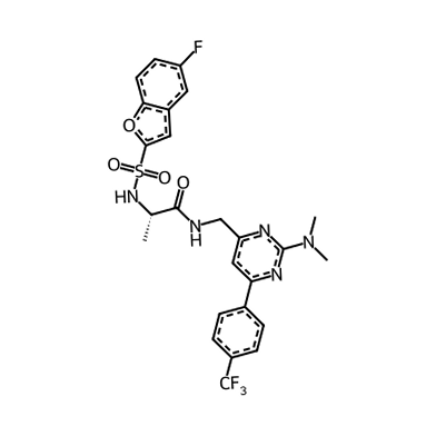 C[C@H](NS(=O)(=O)c1cc2cc(F)ccc2o1)C(=O)NCc1cc(-c2ccc(C(F)(F)F)cc2)nc(N(C)C)n1